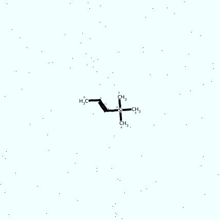 C/C=C/[Si](C)(C)C